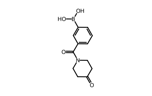 O=C1CCN(C(=O)c2cccc(B(O)O)c2)CC1